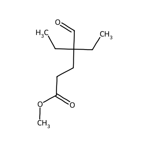 CCC(C=O)(CC)CCC(=O)OC